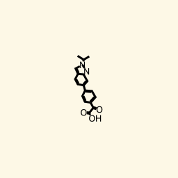 CC(C)n1cc2ccc(-c3ccc(C(=O)C(=O)O)cc3)cc2n1